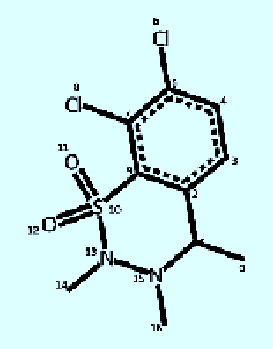 CC1c2ccc(Cl)c(Cl)c2S(=O)(=O)N(C)N1C